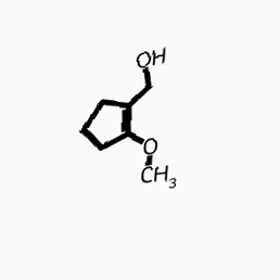 COC1=C(CO)CCC1